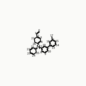 C=CC1=CC=C(N(c2cccc(-c3cccc(C)c3)c2)C2C=CC=CC2)CC1